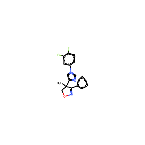 CC1(c2cn(-c3ccc(F)c(F)c3)cn2)CON=C1c1ccccc1